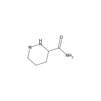 NC(=O)C1CCC[N]N1